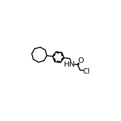 O=C(CCl)NCc1ccc(C2CCCCCCC2)cc1